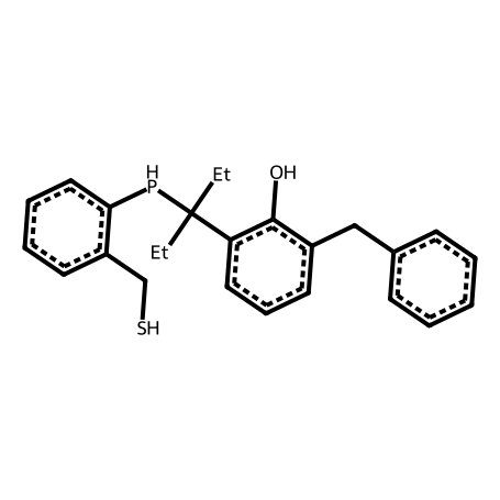 CCC(CC)(Pc1ccccc1CS)c1cccc(Cc2ccccc2)c1O